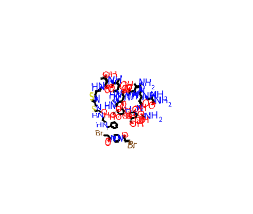 Cc1c(N)nc(C(CC(N)=O)NCC(N)C(N)=O)nc1C(=O)NC(C(=O)NC(C)C(O)C(C)C(=O)NC(C(=O)NCCc1nc(-c2nc(C(=O)NCCCN[C@@H](C)c3ccccc3)cs2)cs1)C(C)O)C(O[C@@H]1O[C@@H](CO)[C@@H](O)[C@H](O)[C@@H]1O[C@H]1O[C@H](CO)[C@@H](O)[C@H](OC(N)=O)[C@@H]1O)c1c[nH]cn1.O=C(CCBr)N1CCN(C(=O)CCBr)CC1